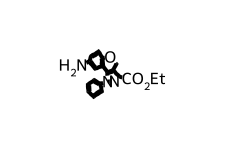 CCOC(=O)c1nn(-c2ccccc2)c2c1COc1ccc(N)cc1-2